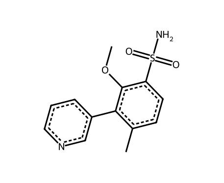 COc1c(S(N)(=O)=O)ccc(C)c1-c1cccnc1